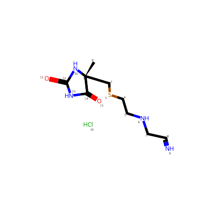 C[C@]1(CSCCNCC=N)NC(=O)NC1=O.Cl